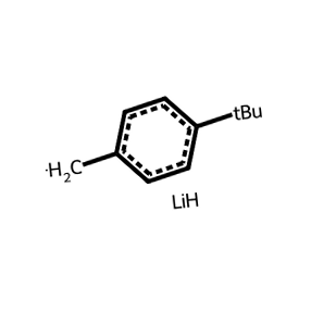 [CH2]c1ccc(C(C)(C)C)cc1.[LiH]